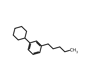 CCCCCc1cccc(C2CCCCC2)c1